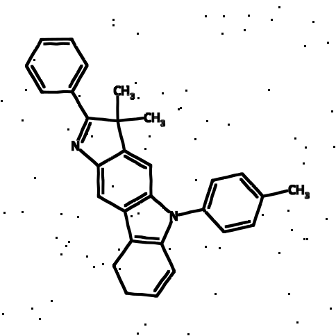 Cc1ccc(-n2c3c(c4cc5c(cc42)C(C)(C)C(c2ccccc2)=N5)CCC=C3)cc1